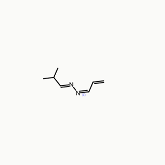 C=C/C=N\N=CC(C)C